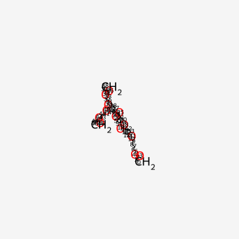 C=CC(=O)OCCCCCCOc1ccc(C(=O)Oc2ccc(OC(=O)c3ccc(OCCCOC(=O)C=C)c(OCCCOC(=O)C=C)c3)cc2)cc1